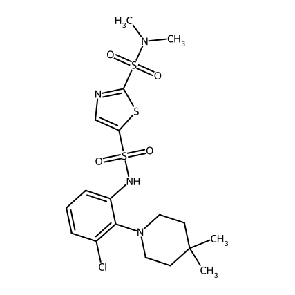 CN(C)S(=O)(=O)c1ncc(S(=O)(=O)Nc2cccc(Cl)c2N2CCC(C)(C)CC2)s1